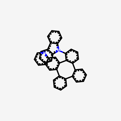 c1ccc2c(c1)-c1ccccc1-c1cccc(-n3c4ccccc4c4ccccc43)c1-c1cc3ncccc3cc1-2